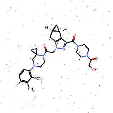 Cc1c(F)ccc(N2CCN(C(=O)Cn3nc(C(=O)N4CCN(C(=O)CO)CC4)c4c3C[C@H]3C[C@@H]43)C3(CC3)C2)c1C